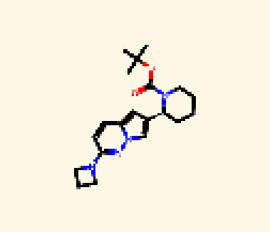 CC(C)(C)OC(=O)N1CCCC[C@H]1c1cc2ccc(N3CCC3)nn2c1